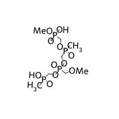 COCP(=O)(OCP(C)(=O)O)OCP(C)(=O)OCP(=O)(O)OC